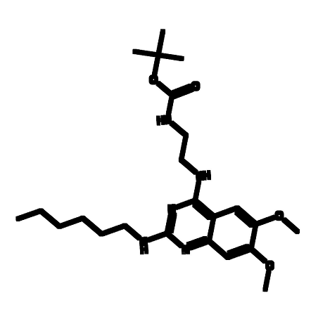 CCCCCCNc1nc(NCCNC(=O)OC(C)(C)C)c2cc(OC)c(OC)cc2n1